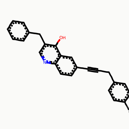 Oc1c(Cc2ccccc2)cnc2ccc(C#CCc3ccc(C(F)(F)F)cc3)cc12